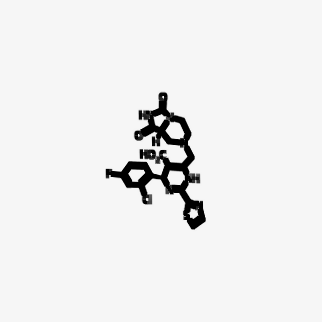 O=C(O)C1=C(CN2CCN3C(=O)NC(=O)[C@H]3C2)NC(c2nccs2)=N[C@H]1c1ccc(F)cc1Cl